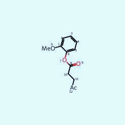 COc1ccccc1OC(=O)CCC(C)=O